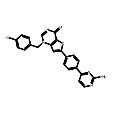 Nc1nccc(-c2ccc(-c3cc4c(s3)c(=O)ncn4Cc3ccc(Cl)cc3)cc2)n1